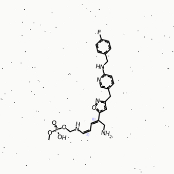 COP(=O)(O)OCN/C=C\C=C(/CN)c1cc(Cc2ccc(NCc3ccc(F)cc3)nc2)no1